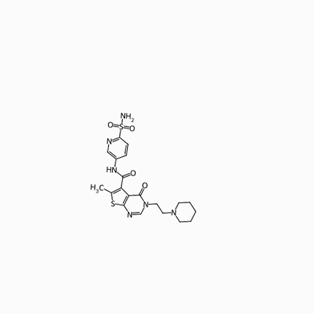 Cc1sc2ncn(CCN3CCCCC3)c(=O)c2c1C(=O)Nc1ccc(S(N)(=O)=O)nc1